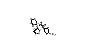 CCCCc1ccc(S(=O)(=O)NP(c2ccccc2)c2ccccc2)cc1